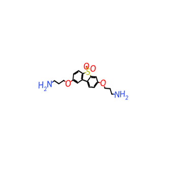 NCCCOc1ccc2c(c1)-c1ccc(OCCCN)cc1S2(=O)=O